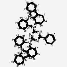 C1=CCCC(c2nc(N3C4=CCCc5c4n(c4ccccc54)-c4ccccc43)nc(N3c4ccccc4-n4c5ccccc5c5cccc3c54)n2)=C1